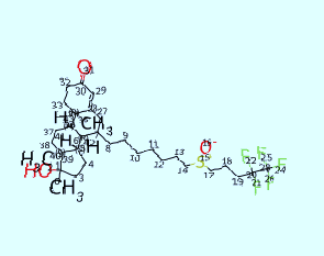 CC1(O)CC[C@H]2[C@@H]3C(CCCCCCC[S+]([O-])CCCC(F)(F)C(F)(F)F)CC4=CC(=O)CC[C@]4(C)[C@@H]3CC[C@@]21C